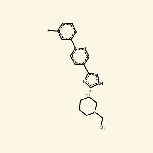 Fc1cccc(-c2ccc(-c3c[nH]c([C@H]4CCCN(CC(F)(F)F)C4)n3)cn2)c1